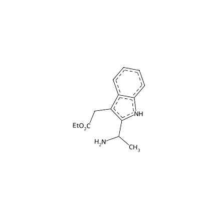 CCOC(=O)Cc1c(C(C)N)[nH]c2ccccc12